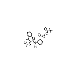 CC(=O)SC(C(=O)Nc1cccc(C(=O)OCOC(=O)C(C)(C)C)c1)C(C)c1ccccc1